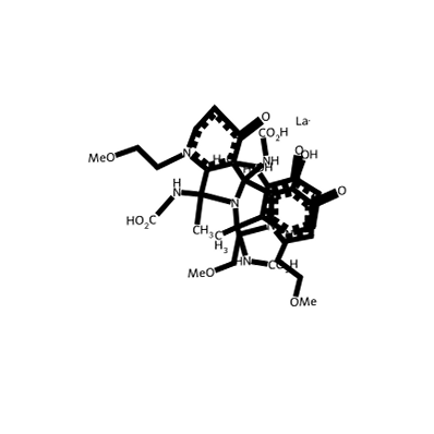 COCCn1ccc(=O)c(O)c1C(C)(NC(=O)O)N(C(C)(NC(=O)O)c1c(O)c(=O)ccn1CCOC)C(C)(NC(=O)O)c1c(O)c(=O)ccn1CCOC.[La]